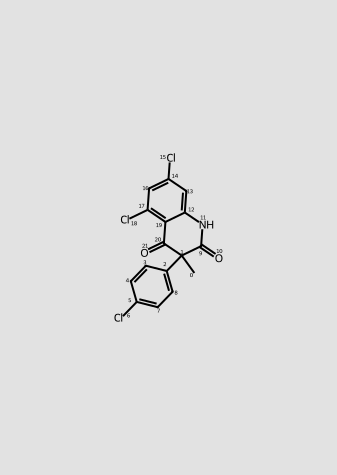 CC1(c2ccc(Cl)cc2)C(=O)Nc2cc(Cl)cc(Cl)c2C1=O